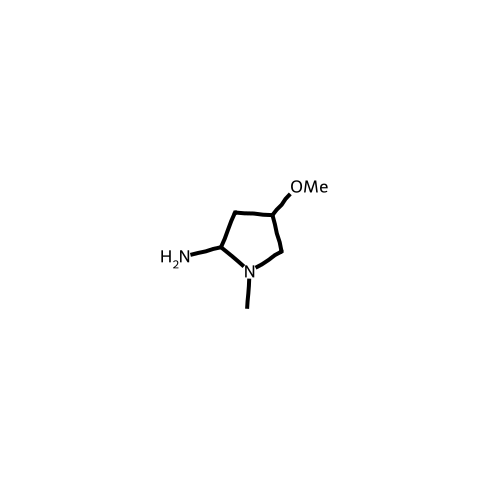 COC1CC(N)N(C)C1